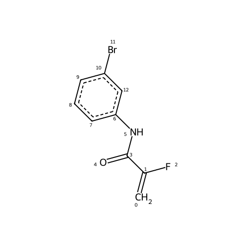 C=C(F)C(=O)Nc1cccc(Br)c1